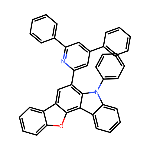 c1ccc(-c2cc(-c3ccccc3)nc(-c3cc4c5ccccc5oc4c4c5ccccc5n(-c5ccccc5)c34)c2)cc1